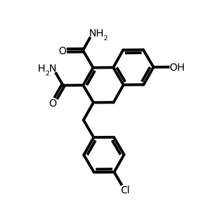 NC(=O)C1=C(C(N)=O)C(Cc2ccc(Cl)cc2)Cc2cc(O)ccc21